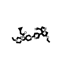 CCOc1cc(-c2ccc(N3CCC(CN4CCN(CC)CC4)(NC(=O)CC4[CH]C4)CC3)nc2)c2c(C#N)cnn2c1